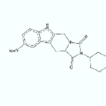 COc1ccc2[nH]c3c(c2c1)CC1C(=O)N(C2CCCCC2)C(=O)N1C3